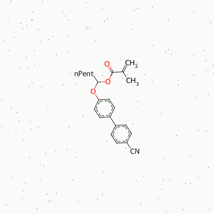 C=C(C)C(=O)OC(CCCCC)Oc1ccc(-c2ccc(C#N)cc2)cc1